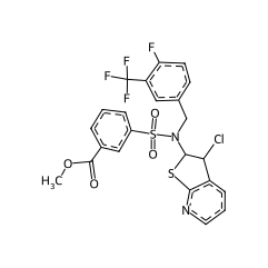 COC(=O)c1cccc(S(=O)(=O)N(Cc2ccc(F)c(C(F)(F)F)c2)C2Sc3ncccc3C2Cl)c1